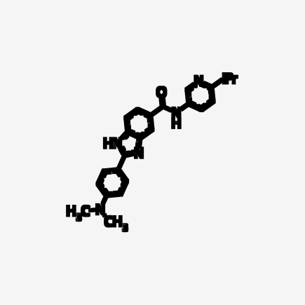 CC(C)c1ccc(NC(=O)c2ccc3[nH]c(-c4ccc(N(C)C)cc4)nc3c2)cn1